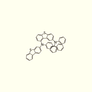 c1ccc(-c2ccc(N(c3ccc4c(c3)sc3ccccc34)c3cccc4sc5ccc(N(c6ccccc6)c6ccccc6)cc5c34)cc2)cc1